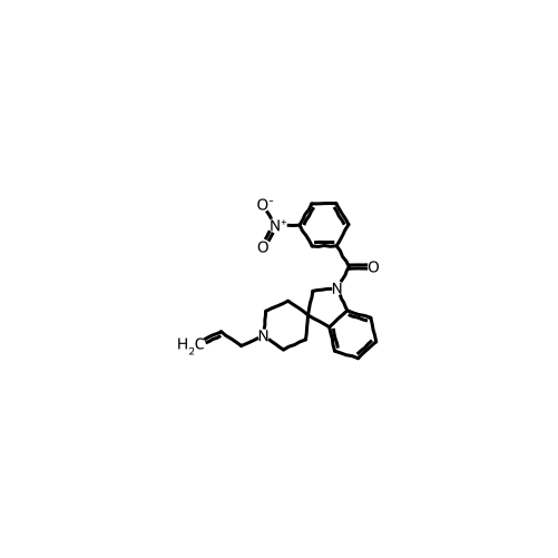 C=CCN1CCC2(CC1)CN(C(=O)c1cccc([N+](=O)[O-])c1)c1ccccc12